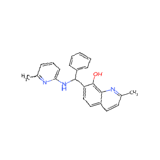 Cc1cccc(NC(c2ccccc2)c2ccc3ccc(C)nc3c2O)n1